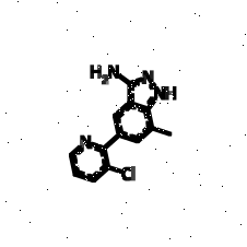 Cc1cc(-c2ncccc2Cl)cc2c(N)n[nH]c12